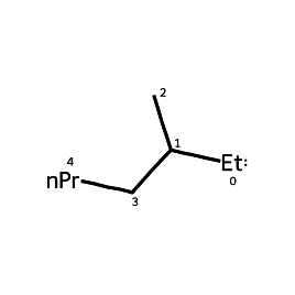 C[C]C(C)CCCC